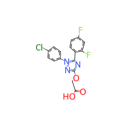 O=C(O)COc1nc(-c2ccc(F)cc2F)n(-c2ccc(Cl)cc2)n1